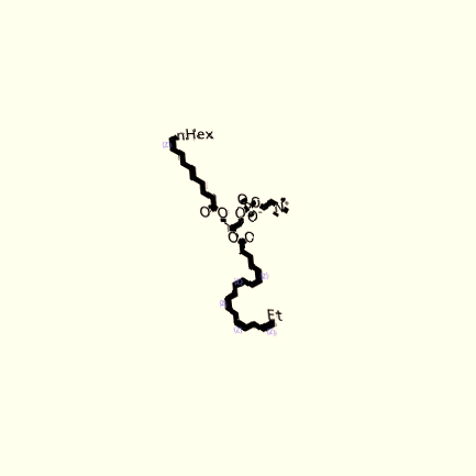 CC/C=C\C/C=C\C/C=C\C/C=C\C/C=C\CCCC(=O)O[C@H](COC(=O)CCCCCCC/C=C\CCCCCC)COP(=O)([O-])OCC[N+](C)(C)C